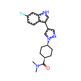 CN(C)C(=O)[C@H]1CC[C@@H](n2cc(-c3c[nH]c4cc(F)ccc34)cn2)CC1